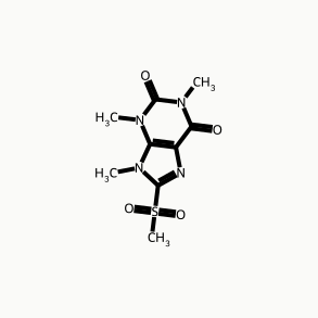 Cn1c(=O)c2nc(S(C)(=O)=O)n(C)c2n(C)c1=O